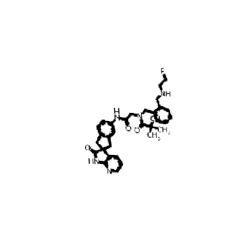 CC(C)(C)C(=O)N(CC(=O)Nc1ccc2c(c1)CC1(C2)C(=O)Nc2ncccc21)Cc1ccccc1CNCCF